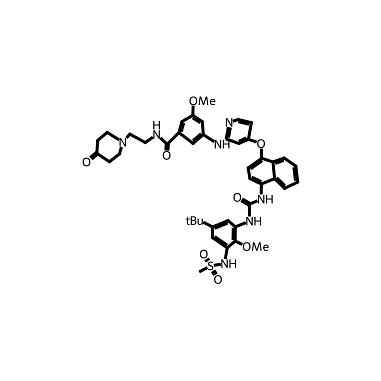 COc1cc(Nc2cc(Oc3ccc(NC(=O)Nc4cc(C(C)(C)C)cc(NS(C)(=O)=O)c4OC)c4ccccc34)ccn2)cc(C(=O)NCCN2CCC(=O)CC2)c1